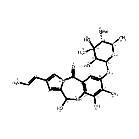 C/C=C/c1cc2n(c1)C(=O)c1cc(O[C@@H]3O[C@H](C)[C@@H](NC)[C@@](C)(O)[C@@H]3O)c(C)c(O)c1NC2O